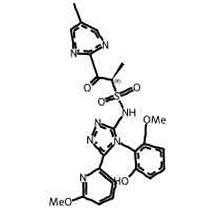 COC1=NC(c2nnc(NS(=O)(=O)[C@H](C)C(=O)c3ncc(C)cn3)n2-c2c(O)cccc2OC)=C=C=C1